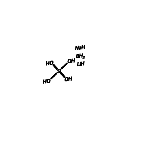 B.O[Si](O)(O)O.[LiH].[NaH]